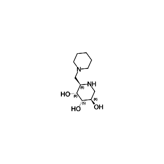 O[C@@H]1[C@H](O)[C@@H](CN2CCCCC2)NC[C@H]1O